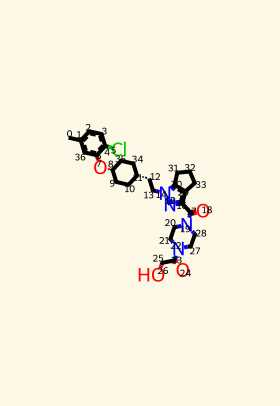 Cc1ccc(Cl)c(O[C@H]2CC[C@@H](CCn3nc(C(=O)N4CCN(C(=O)CO)CC4)c4c3CCC4)CC2)c1